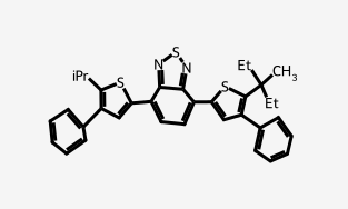 CCC(C)(CC)c1sc(-c2ccc(-c3cc(-c4ccccc4)c(C(C)C)s3)c3nsnc23)cc1-c1ccccc1